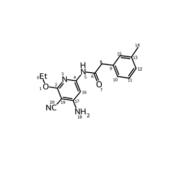 CCOc1nc(NC(=O)Cc2cccc(C)c2)cc(N)c1C#N